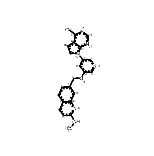 CNc1ccc2ccc(COc3cncc(-n4ccc5c(Cl)ncnc54)c3)cc2n1